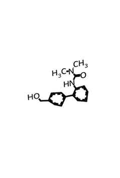 CN(C)C(=O)Nc1ccccc1-c1ccc(CO)cc1